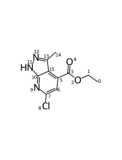 CCOC(=O)c1cc(Cl)nc2[nH]nc(C)c12